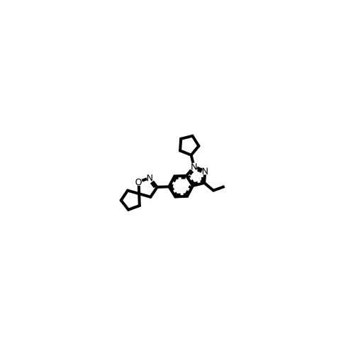 CCc1nn(C2CCCC2)c2cc(C3=NOC4(CCCC4)C3)ccc12